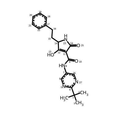 CC(C)(C)c1ncc(NC(=O)C2=C(O)C(CCc3ccccc3)NC2=O)cn1